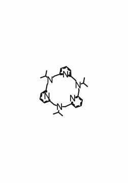 CC(C)N1Cc2cccc(n2)CN(C(C)C)Cc2cccc(n2)CN(C(C)C)Cc2cccc(n2)C1